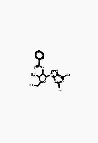 CCC1OC(n2cnc3c(Cl)nc(Cl)nc32)C(OC(=O)c2ccccc2)C1C